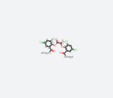 CCCCCCCC(=O)c1cc(Cl)cc(Cl)c1OC(=O)C(=O)Oc1c(Cl)cc(Cl)cc1C(=O)CCCCCCC